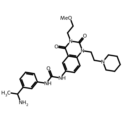 COCCn1c(=O)c2cc(NC(=O)Nc3cccc(C(C)N)c3)ccc2n(CCN2CCCCC2)c1=O